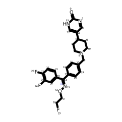 O=c1ncc(C2CCN(Cc3ccc(/C(=N/OCCF)c4ccc(F)c(F)c4)cc3)CC2)c[nH]1